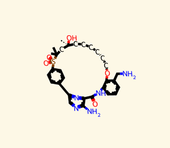 CC1(C)C[C@@](C)(O)CCCCCCOc2c(CN)cccc2NC(=O)c2nc(cnc2N)-c2ccc(cc2)S1(=O)=O